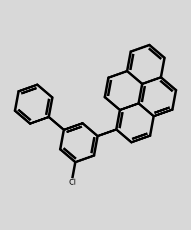 Clc1cc(-c2ccccc2)cc(-c2ccc3ccc4cccc5ccc2c3c45)c1